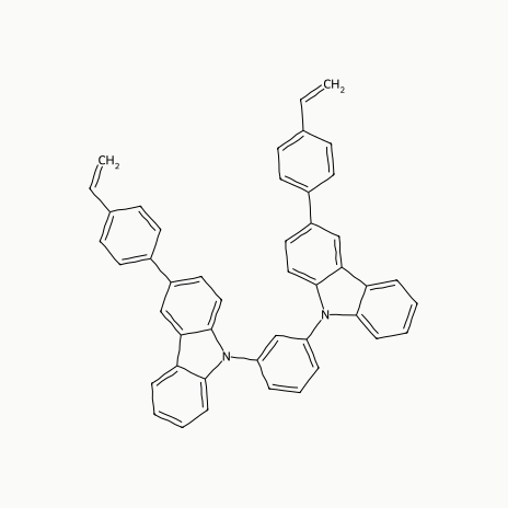 C=Cc1ccc(-c2ccc3c(c2)c2ccccc2n3-c2cccc(-n3c4ccccc4c4cc(-c5ccc(C=C)cc5)ccc43)c2)cc1